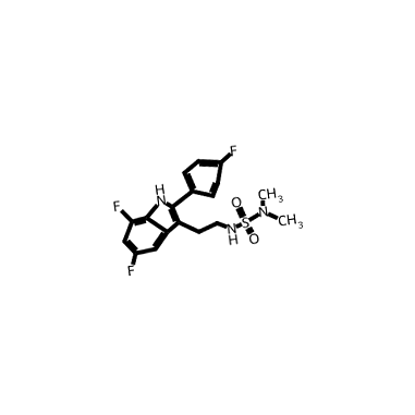 CN(C)S(=O)(=O)NCCc1c(-c2ccc(F)cc2)[nH]c2c(F)cc(F)cc12